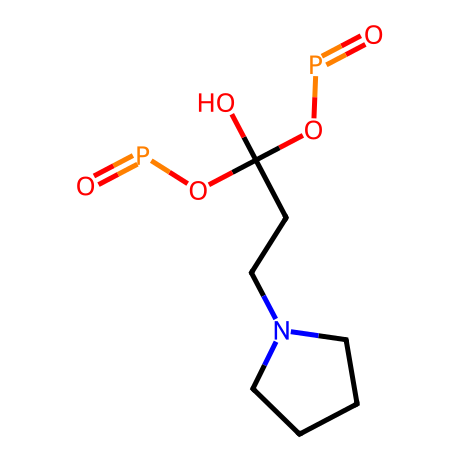 O=POC(O)(CCN1CCCC1)OP=O